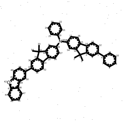 CC1(C)c2cc(-c3ccccc3)ccc2-c2ccc(N(c3ccccc3)c3ccc4c(c3)C(C)(C)c3cc(-c5ccc6oc7ccccc7c6c5)ccc3-4)cc21